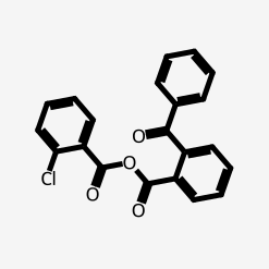 O=C(OC(=O)c1ccccc1C(=O)c1ccccc1)c1ccccc1Cl